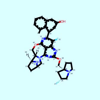 Cc1cccc2cc(O)cc(-c3nc4c5c(nc(OC[C@]67CCCN6C[C@H](F)C7)nc5c3F)N3CC5CC[C@H](N5)[C@@H]3CO4)c12